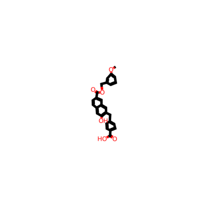 COc1cccc(COC(=O)c2ccc3cc(O)c(Cc4ccc(C(=O)O)cc4)cc3c2)c1